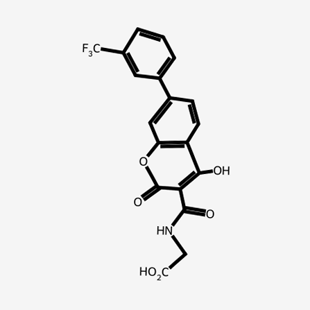 O=C(O)CNC(=O)c1c(O)c2ccc(-c3cccc(C(F)(F)F)c3)cc2oc1=O